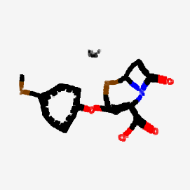 CSc1ccc(OC2=C(C(=O)[O-])N3C(=O)CC3S2)cc1.[Na+]